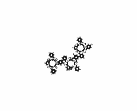 O=C1N[C@H](Cc2ccc(-c3ccccc3C[C@@H]3NC(=O)[C@@H](Cc4ccc(-c5ccccc5C[C@@H]5NC(=O)[C@@H](Cc6ccc(F)cc6)NC(=O)[C@H](Cc6ccccc6)NC(=O)[C@H]6CCCN6C5=O)cc4F)NC(=O)[C@H](Cc4ccccc4)NC(=O)[C@H]4CCCN4C3=O)c(F)c2)C(=O)N[C@@H](Cc2ccccc2)C(=O)N2CCC[C@@H]2C(=O)N[C@H]1Cc1ccccc1